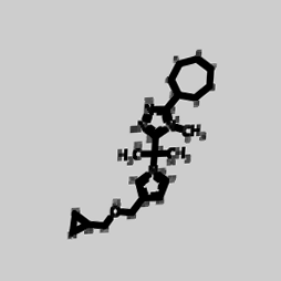 Cn1c(C2CCCCCC2)nnc1C(C)(C)n1ccc(COCC2CC2)c1